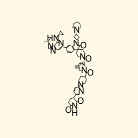 CC(C)n1cnc2cc(-c3ccc4c(c3)N([C@H]3C[C@@H](N5CCCCC5)C3)C(=O)C43CCN(C(=O)[C@H]4C[C@@H](C)CN(C(=O)C5CCN(c6ccc(C7CCC(=O)NC7=O)cn6)CC5)C4)CC3)nc(NC3CC3)c21